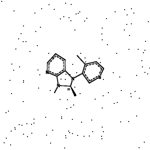 Cc1ccncc1N1c2cccnc2N(C)[C@@H]1C